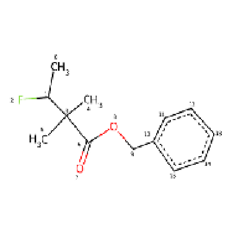 CC(F)C(C)(C)C(=O)OCc1ccccc1